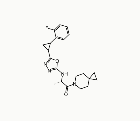 C[C@H](Nc1nnc(C2CC2c2ccccc2F)o1)C(=O)N1CCC2(CC1)CC2